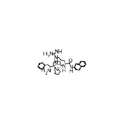 N=C(N)NCCC[C@H](NC(=O)[C@@H]1CCCN1C(=O)[C@H](N)Cc1ccccc1)C(=O)Nc1ccc2ccccc2c1